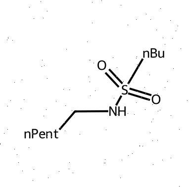 CCCCCCNS(=O)(=O)CCCC